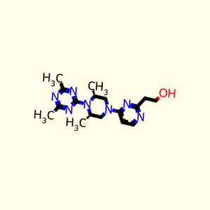 Cc1nc(C)nc(N2[C@H](C)CN(c3ccnc(CCO)n3)C[C@@H]2C)n1